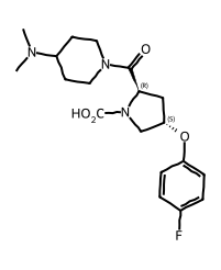 CN(C)C1CCN(C(=O)[C@H]2C[C@H](Oc3ccc(F)cc3)CN2C(=O)O)CC1